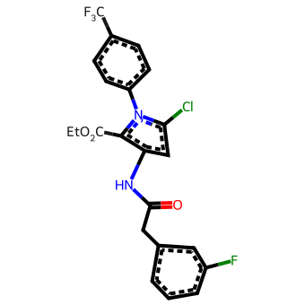 CCOC(=O)c1c(NC(=O)Cc2cccc(F)c2)cc(Cl)n1-c1ccc(C(F)(F)F)cc1